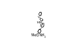 COc1ccc(-c2ccnc(Nc3cccc(Oc4ccccc4)c3)n2)cc1N